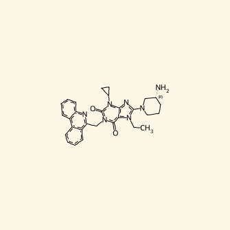 CCn1c(N2CCC[C@@H](N)C2)nc2c1c(=O)n(Cc1nc3ccccc3c3ccccc13)c(=O)n2C1CC1